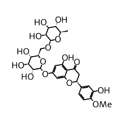 COc1ccc([C@@H]2CC(=O)c3c(O)cc(O[C@@H]4O[C@H](CO[C@@H]5O[C@H](C)[C@@H](O)[C@H](O)[C@@H]5O)[C@@H](O)[C@H](O)[C@H]4O)cc3O2)cc1O